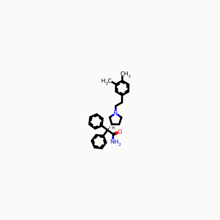 Cc1ccc(CCN2CC[C@H](C(C(N)=O)(c3ccccc3)c3ccccc3)C2)cc1C